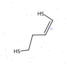 S/C=C\CCS